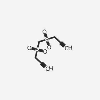 C#CCS(=O)(=O)CS(=O)(=O)CC#C